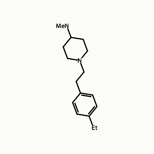 CCc1ccc(CCN2CCC(NC)CC2)cc1